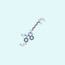 COC(=O)CCCCCCOc1nc(N(C)c2ccc(OC)cc2)c2ccccc2n1